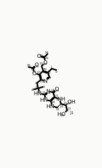 CCc1cnc(CC(C)(C)Nc2nc(=O)c3c([nH]2)NC[C@H]([C@@H](O)[C@H](C)O)N3)c(OC(C)=O)c1COC(C)=O